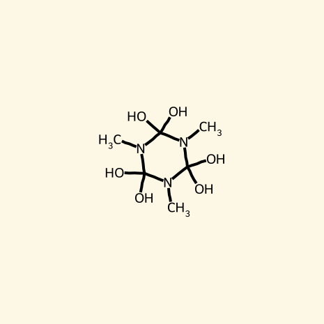 CN1C(O)(O)N(C)C(O)(O)N(C)C1(O)O